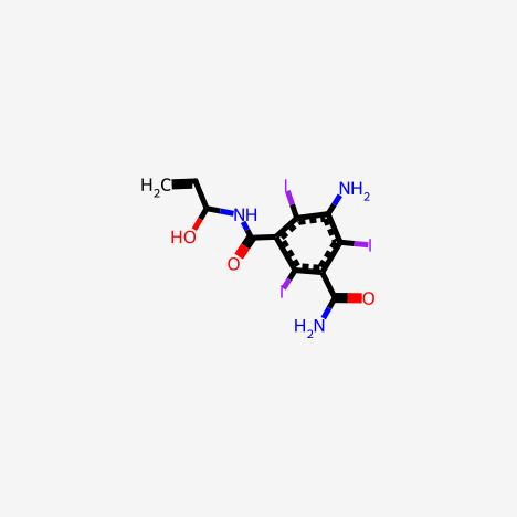 C=CC(O)NC(=O)c1c(I)c(N)c(I)c(C(N)=O)c1I